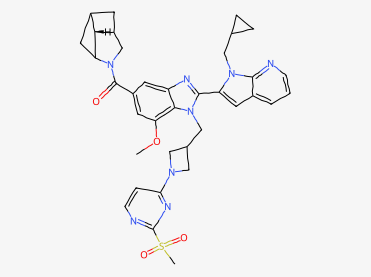 COc1cc(C(=O)N2CC3CC4CC2[C@H]43)cc2nc(-c3cc4cccnc4n3CC3CC3)n(CC3CN(c4ccnc(S(C)(=O)=O)n4)C3)c12